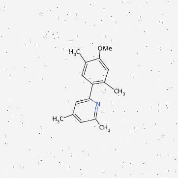 COc1cc(C)c(-c2cc(C)cc(C)n2)cc1C